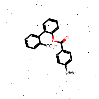 COc1ccc(C(=O)Oc2ccccc2-c2ccccc2C(=O)O)cc1